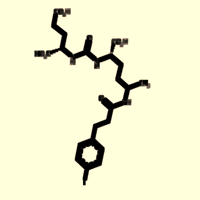 CC(CC[C@H](NC(=O)N[C@@H](CCC(=O)O)C(=O)O)C(=O)O)NC(=O)CCc1ccc(I)cc1